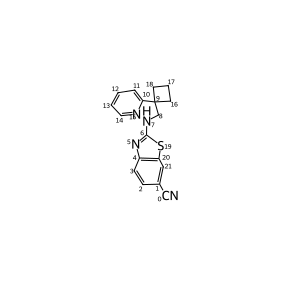 N#Cc1ccc2nc(NCC3(c4ccccn4)CCC3)sc2c1